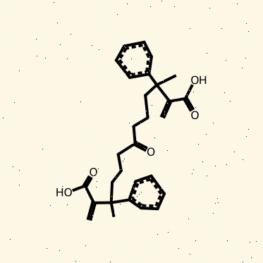 C=C(C(=O)O)C(C)(CCCC(=O)CCCC(C)(C(=C)C(=O)O)c1ccccc1)c1ccccc1